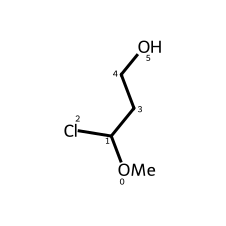 COC(Cl)CCO